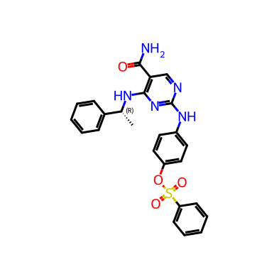 C[C@@H](Nc1nc(Nc2ccc(OS(=O)(=O)c3ccccc3)cc2)ncc1C(N)=O)c1ccccc1